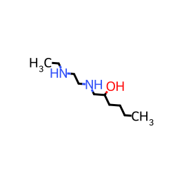 CCCCC(O)CNCCNCC